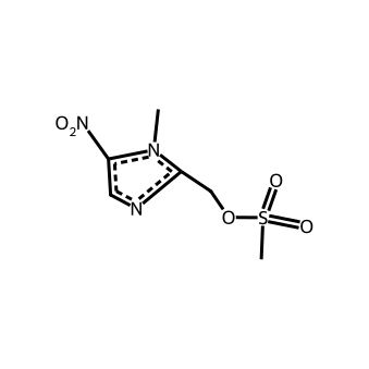 Cn1c([N+](=O)[O-])cnc1COS(C)(=O)=O